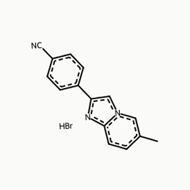 Br.Cc1ccc2nc(-c3ccc(C#N)cc3)cn2c1